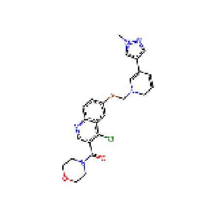 Cn1cc(C2=CN(CSc3ccc4ncc(C(=O)N5CCOCC5)c(Cl)c4c3)CC=C2)cn1